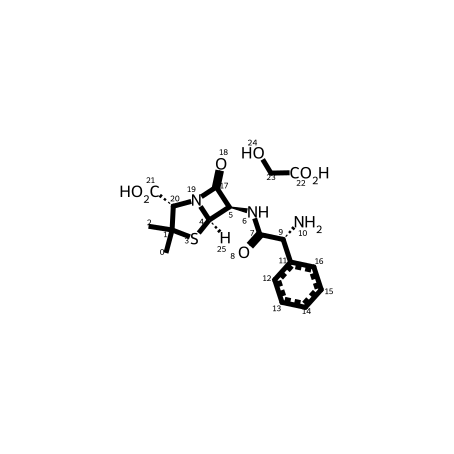 CC1(C)S[C@@H]2[C@H](NC(=O)[C@H](N)c3ccccc3)C(=O)N2[C@H]1C(=O)O.O=C(O)CO